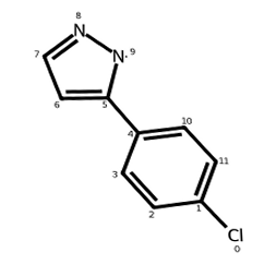 Clc1ccc(C2=CC=N[N]2)cc1